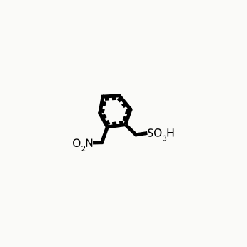 O=[N+]([O-])Cc1ccccc1CS(=O)(=O)O